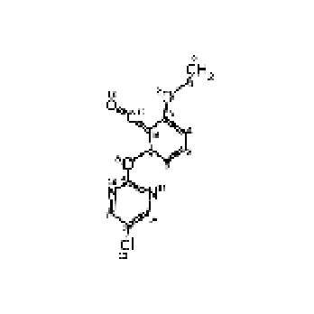 CCOC1=CC=CC(Oc2ncc(Cl)cn2)C1=C=O